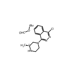 CC(C)(C)OC=O.C[C@H]1CN(c2nnc(Cl)c3ccccc23)CCN1